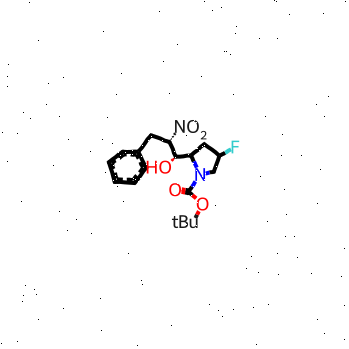 CC(C)(C)OC(=O)N1CC(F)CC1[C@H](O)[C@H](Cc1ccccc1)[N+](=O)[O-]